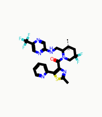 Cc1nc(C(=O)N2CC(F)(F)C[C@@H](C)C2CNc2cnc(C(F)(F)F)cn2)c(-c2ccccn2)s1